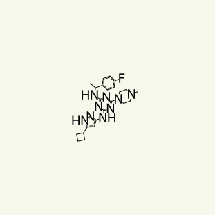 CC(Nc1nc(Nc2cc(C3CCC3)[nH]n2)nc(N2CCN(C)CC2)n1)c1ccc(F)cc1